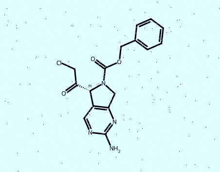 Nc1ncc2c(n1)CN(C(=O)OCc1ccccc1)[C@H]2C(=O)CCl